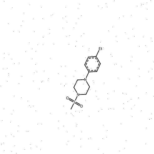 CCc1ccc(N2CCN(S(C)(=O)=O)CC2)cc1